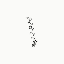 COCCOCCCCN=[N+]=[N-]